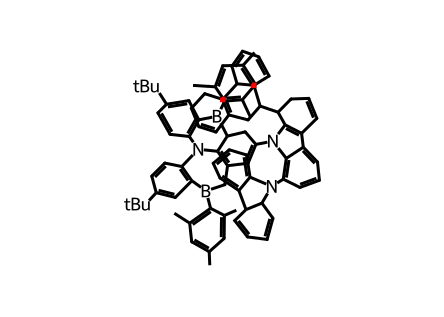 Cc1cc(C)c(B2CC3=C4C(CC(n5c6c(c7cccc(N8c9ccccc9C9C=CC=CC98)c75)C=CCC6C5CC6=C(CCC=C6)C6C=CC=CC65)=C3)B(c3c(C)cc(C)cc3C)c3cc(C(C)(C)C)ccc3N4c3ccc(C(C)(C)C)cc32)c(C)c1